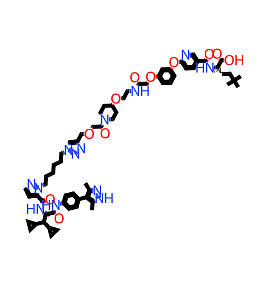 Cc1n[nH]c(C)c1-c1ccc(NC(=O)[C@@H](NC(=O)c2ccnn2CCCCCCn2cc(COCC(=O)N3CCC(OCCNC(=O)COc4cccc(Oc5ccc(C(=O)N[C@@H](CCC(C)(C)C)C(=O)O)cn5)c4)CC3)nn2)C(C2CC2)C2CC2)cc1